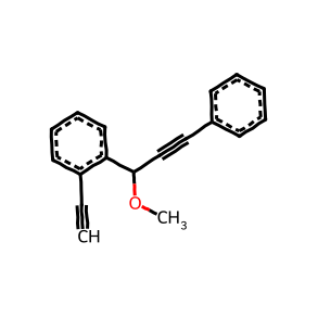 C#Cc1ccccc1C(C#Cc1ccccc1)OC